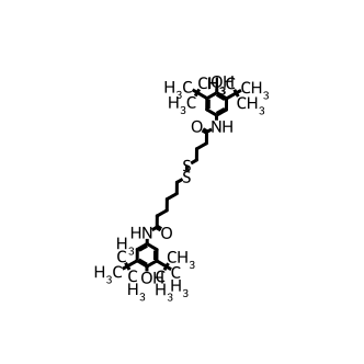 CC(C)(C)c1cc(NC(=O)CCCCCSSCCCC(=O)Nc2cc(C(C)(C)C)c(O)c(C(C)(C)C)c2)cc(C(C)(C)C)c1O